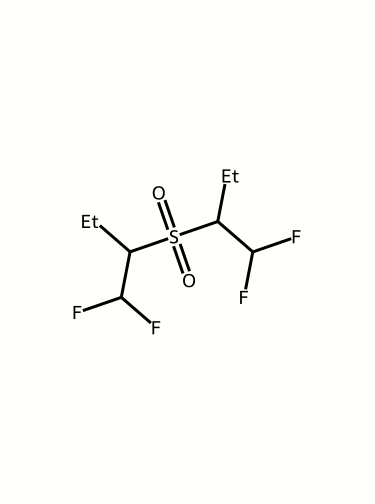 CCC(C(F)F)S(=O)(=O)C(CC)C(F)F